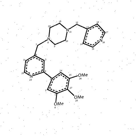 COc1cc(-c2cc(CN3CCN(Cc4ccncc4)CC3)ccn2)cc(OC)c1OC